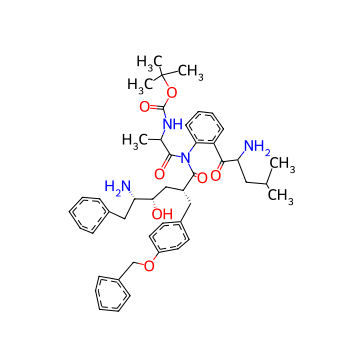 CC(C)CC(N)C(=O)c1ccccc1N(C(=O)C(C)NC(=O)OC(C)(C)C)C(=O)[C@H](Cc1ccc(OCc2ccccc2)cc1)C[C@H](O)[C@@H](N)Cc1ccccc1